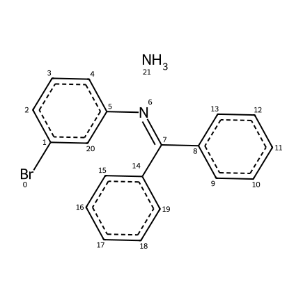 Brc1cccc(N=C(c2ccccc2)c2ccccc2)c1.N